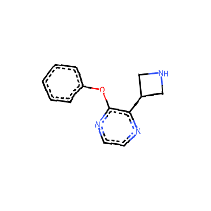 c1ccc(Oc2nccnc2C2CNC2)cc1